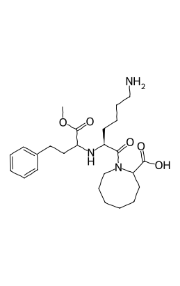 COC(=O)C(CCc1ccccc1)N[C@@H](CCCCN)C(=O)N1CCCCCCC1C(=O)O